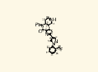 CC(C)N(C(=O)c1csc(-c2cnn(-c3ccccc3CF)c2)n1)C1CCNCC1